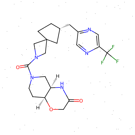 O=C1CO[C@H]2CCN(C(=O)N3CC4(CC[C@H](Cc5cnc(C(F)(F)F)cn5)C4)C3)C[C@H]2N1